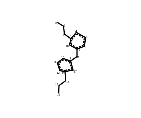 CCCc1cccc([CH]c2cccc(CCC)c2)c1